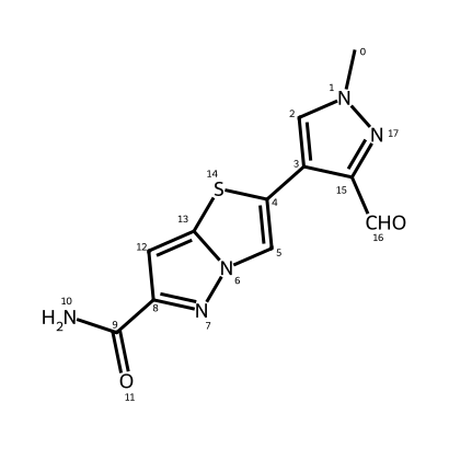 Cn1cc(-c2cn3nc(C(N)=O)cc3s2)c(C=O)n1